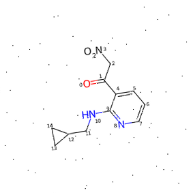 O=C(C[N+](=O)[O-])c1cccnc1NCC1CC1